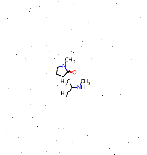 CN1CCCC1=O.CNC(C)C